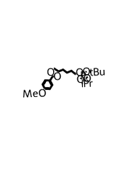 COc1ccc(C2OCC(CCCCOP(=O)(OC(C)C)OC(C)(C)C)O2)cc1